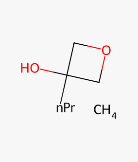 C.CCCC1(O)COC1